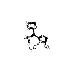 Cn1c([N+](=O)[O-])cnc1C(c1nnco1)=S(=O)=O